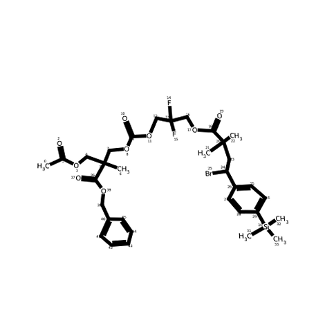 CC(=O)OCC(C)(COC(=O)OCC(F)(F)COC(=O)C(C)(C)CC(Br)c1ccc([Si](C)(C)C)cc1)C(=O)OCc1ccccc1